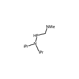 CNCPN(C(C)C)C(C)C